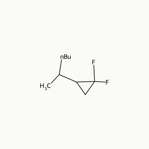 CCCCC(C)C1CC1(F)F